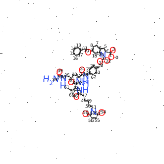 COC(=O)c1cc2ccc(OCc3ccccc3)cc2n1C(=O)OCc1ccc(NC(=O)[C@H](CCCNC(N)=O)NC(=O)C(NC(=O)CCCCCN2C(=O)C=CC2=O)C(C)C)cc1